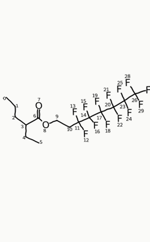 CCCC(CC)C(=O)OCCC(F)(F)C(F)(F)C(F)(F)C(F)(F)C(F)(F)C(F)(F)F